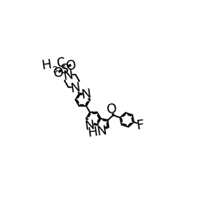 CS(=O)(=O)N1CCN(c2ccc(-c3cnc4[nH]cc(C(=O)c5ccc(F)cc5)c4c3)cn2)CC1